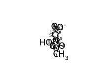 CCOC(=O)c1cc2cc([N+](=O)[O-])ccc2n1C(=O)O